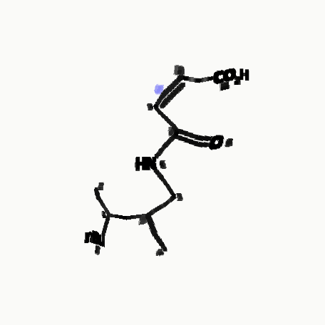 CCCCC(C)C(C)CNC(=O)/C=C\C(=O)O